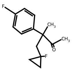 CC(=O)C(C)(CC1(F)CC1)c1ccc(F)cc1